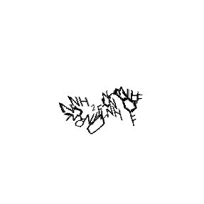 Nc1cc(C(=O)N[C@@H]2CCC[C@H](Nc3nc(-c4c[nH]c5c(F)cc(F)cc45)ncc3F)C2)ncn1